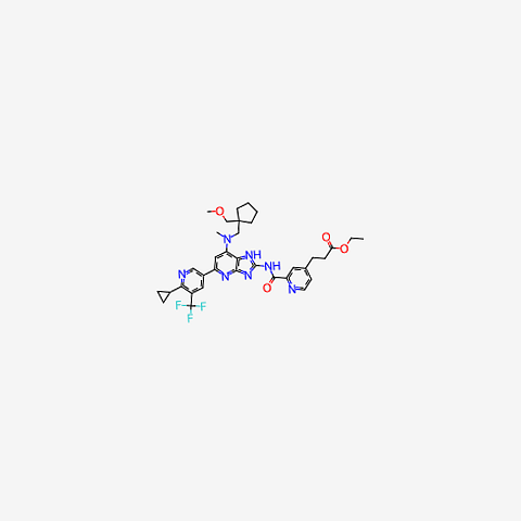 CCOC(=O)CCc1ccnc(C(=O)Nc2nc3nc(-c4cnc(C5CC5)c(C(F)(F)F)c4)cc(N(C)CC4(COC)CCCC4)c3[nH]2)c1